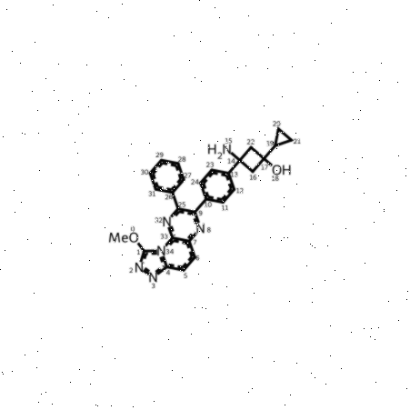 COc1nnc2ccc3nc(-c4ccc(C5(N)CC(O)(C6CC6)C5)cc4)c(-c4ccccc4)nc3n12